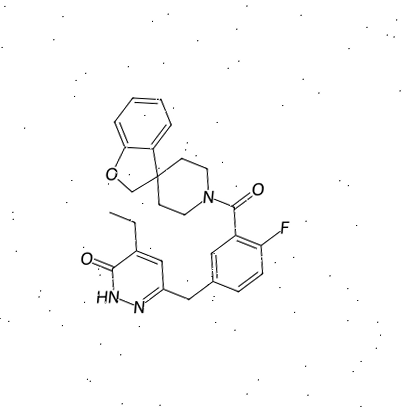 CCc1cc(Cc2ccc(F)c(C(=O)N3CCC4(CC3)COc3ccccc34)c2)n[nH]c1=O